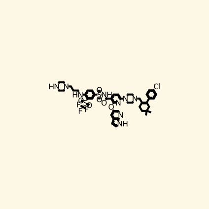 CC1(C)CCC(CN2CCN(c3ccc(C(=O)NS(=O)(=O)c4ccc(NCCCN5CCNCC5)c(S(=O)(=O)C(F)(F)F)c4)c(Oc4cnc5[nH]ccc5c4)n3)CC2)=C(c2ccc(Cl)cc2)C1